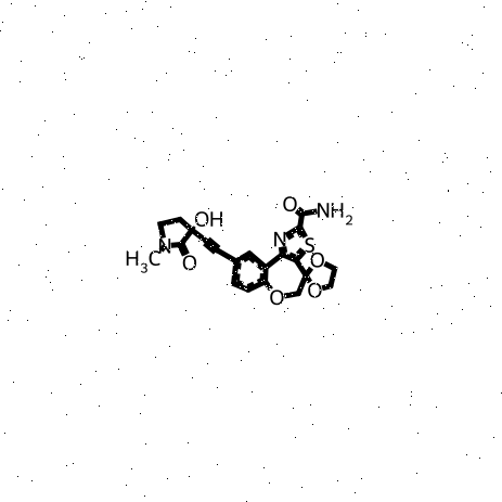 CN1CC[C@@](O)(C#Cc2ccc3c(c2)-c2nc(C(N)=O)sc2C2(CO3)OCCO2)C1=O